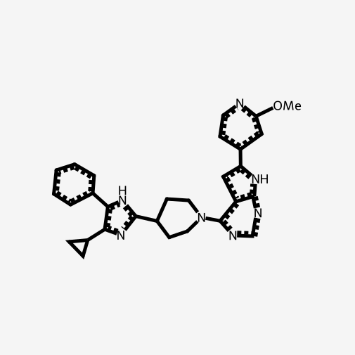 COc1cc(-c2cc3c(N4CCC(c5nc(C6CC6)c(-c6ccccc6)[nH]5)CC4)ncnc3[nH]2)ccn1